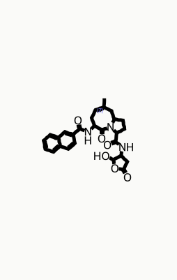 C/C1=C/CC(NC(=O)c2ccc3ccccc3c2)C(=O)N2C(CCC2C(=O)NC2CC(=O)OC2O)C1